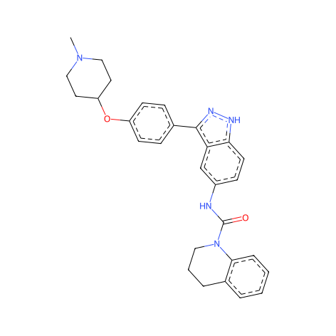 CN1CCC(Oc2ccc(-c3n[nH]c4ccc(NC(=O)N5CCCc6ccccc65)cc34)cc2)CC1